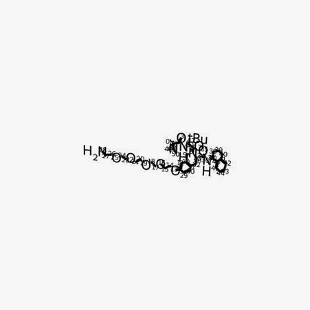 C[C@@H](C(=O)N[C@H](C(=O)N1Cc2cc(OCCOCCOCCOCCOCCN)ccc2C[C@H]1C(=O)N[C@@H]1CCCc2ccccc21)C(C)(C)C)N(C)C